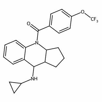 O=C(c1ccc(OC(F)(F)F)cc1)N1c2ccccc2C(NC2CC2)C2CCCC21